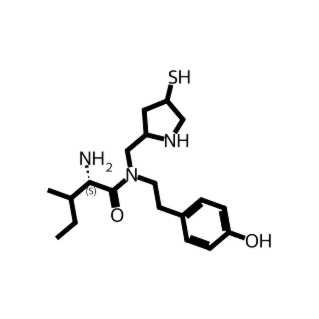 CCC(C)[C@H](N)C(=O)N(CCc1ccc(O)cc1)CC1CC(S)CN1